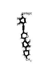 CCCCCCCOc1ccc(C#CC2CCC(c3ccc(C4CCC(C)CC4)c(F)c3F)OC2)c(F)c1F